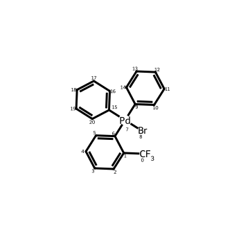 FC(F)(F)c1cccc[c]1[Pd]([Br])([c]1ccccc1)[c]1ccccc1